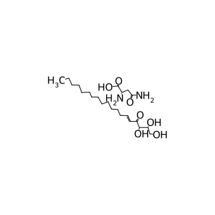 CCCCCCCCCCCCCC=CC(=O)C(O)C(O)CO.NC(=O)C[C@H](N)C(=O)O